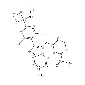 CNC1(c2cc(F)c(-c3nc4cc(C)ccn4c3CC3CN(C(=O)O)CCO3)c(F)c2)COC1